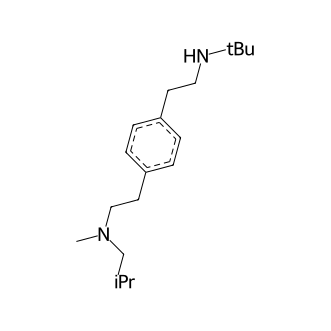 CC(C)CN(C)CCc1ccc(CCNC(C)(C)C)cc1